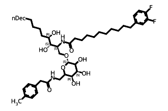 CCCCCCCCCCCCCC[C@@H](O)[C@@H](O)[C@H](CO[C@H]1OC(CNC(=O)Cc2ccc(C)cc2)[C@H](O)[C@H](O)C1O)NC(=O)CCCCCCCCCCc1ccc(F)c(F)c1